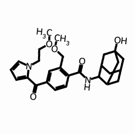 COCCn1cccc1C(=O)c1ccc(C(=O)NC2C3CC4CC2CC(O)(C4)C3)c(COC)c1